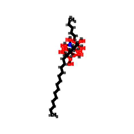 CCCCCCCCCCCCCCC(O)(OO)C(O)(OO)C(O)(N(O)O)C(O)(O)OCCCCC